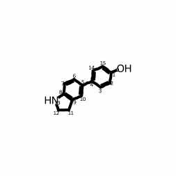 Oc1ccc(-c2ccc3c(c2)CCN3)cc1